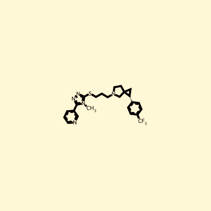 Cn1c(SCCCN2CCC3(C[C@@H]3c3ccc(C(F)(F)F)cc3)C2)nnc1-c1cccnc1